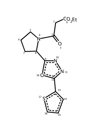 CCOC(=O)CC(=O)N1CCCC1c1nnc(-c2cccs2)o1